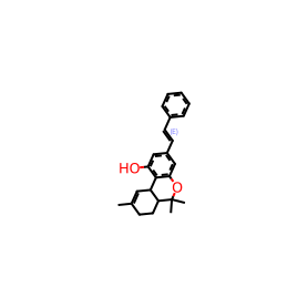 CC1=CC2c3c(O)cc(/C=C/c4ccccc4)cc3OC(C)(C)C2CC1